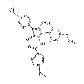 COc1cc(F)c(-c2c(NC(=O)c3ccc(C4CC4)cc3)c(=O)n(-c3ccc(C4CC4)cn3)n2C)c(F)c1